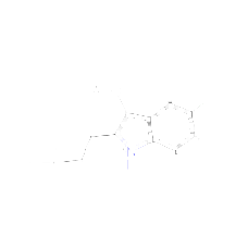 CC(=O)Oc1c(CCC=O)[nH]c2ccc(Cl)cc12